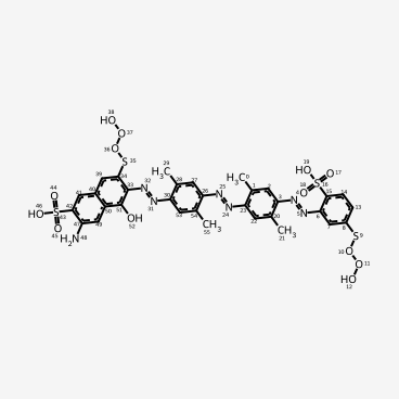 Cc1cc(N=Nc2cc(SOOO)ccc2S(=O)(=O)O)c(C)cc1N=Nc1cc(C)c(N=Nc2c(SOOO)cc3cc(S(=O)(=O)O)c(N)cc3c2O)cc1C